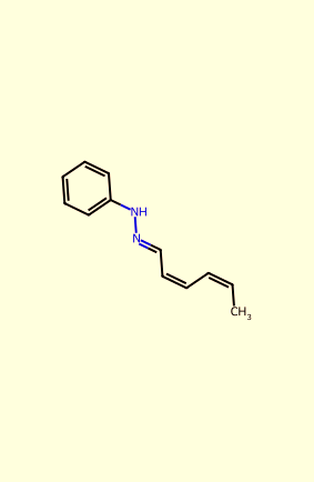 C\C=C/C=C\C=N\Nc1ccccc1